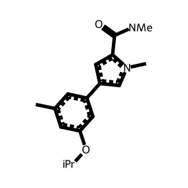 CNC(=O)c1cc(-c2cc(C)cc(OC(C)C)c2)cn1C